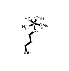 COP(C)(O)(OC)OCCCO